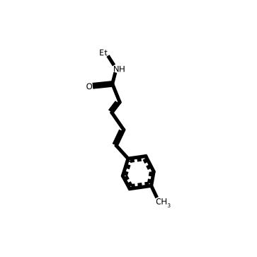 CCNC(=O)/C=C/C=C/c1ccc(C)cc1